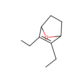 CCC1=C(CC)C2CCC1O2